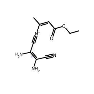 CCOC(=O)C=C(C)[N+]#C/C(N)=C(/N)C#N